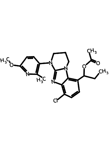 CCC(OC(C)=O)c1ccc(Cl)c2nc3n(c12)CCCN3c1ccc(OC)nc1C